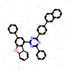 C1=CC2Oc3cc(-c4ccccc4)cc(-c4nc(-c5ccccc5)nc(-c5ccc(-c6ccc7ccccc7c6)cc5)n4)c3C2C=C1